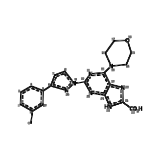 Cc1cccc(-c2ccn(-c3nc(N4CCOCC4)c4nc(C(=O)O)[nH]c4n3)n2)c1